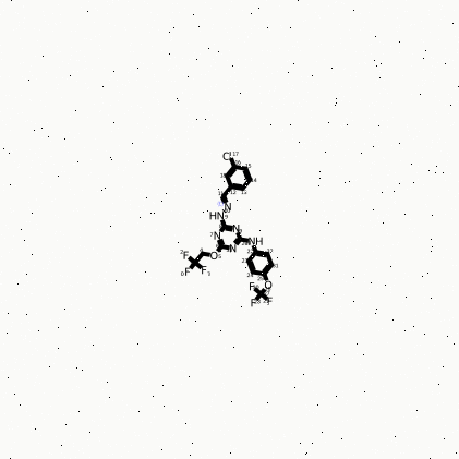 FC(F)(F)COc1nc(N/N=C/c2cccc(Cl)c2)nc(Nc2ccc(OC(F)(F)F)cc2)n1